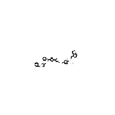 COc1cc(C(=O)NCc2cc(-c3ccc(C(O)(C(=O)OCC4CCN(Cc5ccccc5)CC4)c4ccccc4)cc3)cs2)ccc1CNC[C@H](O)c1ccc(O)c2[nH]c(=O)ccc12